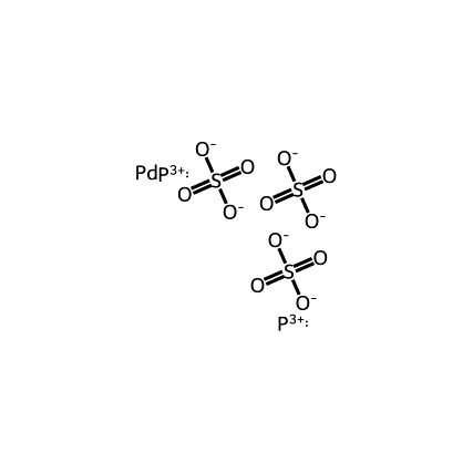 O=S(=O)([O-])[O-].O=S(=O)([O-])[O-].O=S(=O)([O-])[O-].[P+3].[P+3].[Pd]